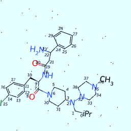 CC(C)CN(C1CCN(C(=O)[C@@H](Cc2ccc(Cl)cc2)NC(=O)CC(N)c2ccccc2)CC1)N1CCN(C)CC1